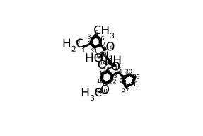 C=Cc1cc(C)cc(C(=O)N(O)NS(=O)(=O)c2ccc(OC)cc2Cc2ccccc2)c1